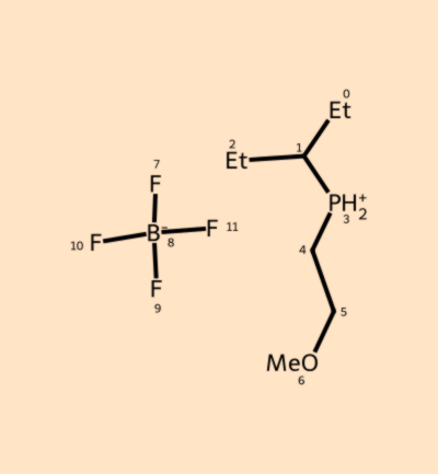 CCC(CC)[PH2+]CCOC.F[B-](F)(F)F